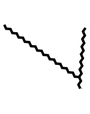 [CH2]CCC(CCCCCCCCCCCCC)CCCCCCCCCCCCCCCCCCCCCCCC